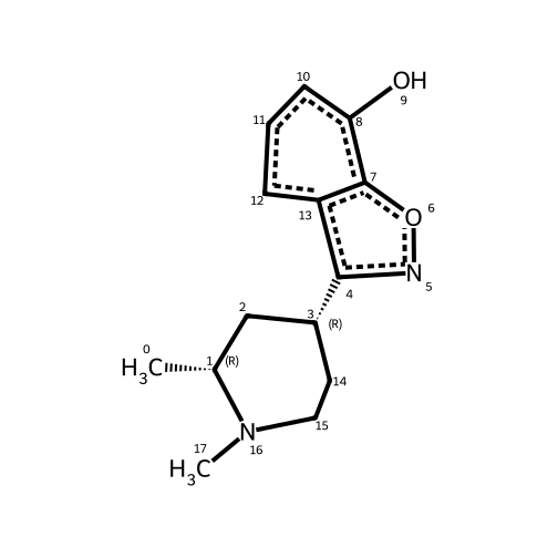 C[C@@H]1C[C@H](c2noc3c(O)cccc23)CCN1C